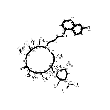 CC[C@H]1OC(=O)[C@H](C)[C@@H](O)[C@H](C)[C@@H](O[C@@H]2O[C@H](C)C[C@H](N(C)C)[C@H]2O)[C@](C)(O)C[C@@H](C)CN(CCCNc2ccnc3cc(Cl)ccc23)[C@H](C)[C@@H](O)[C@]1(C)O